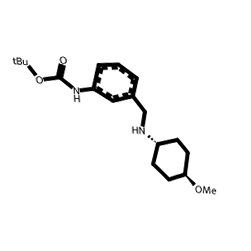 CO[C@H]1CC[C@H](NCc2cccc(NC(=O)OC(C)(C)C)c2)CC1